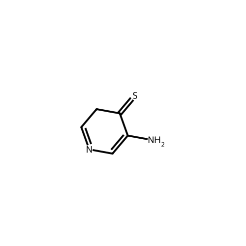 NC1=CN=CCC1=S